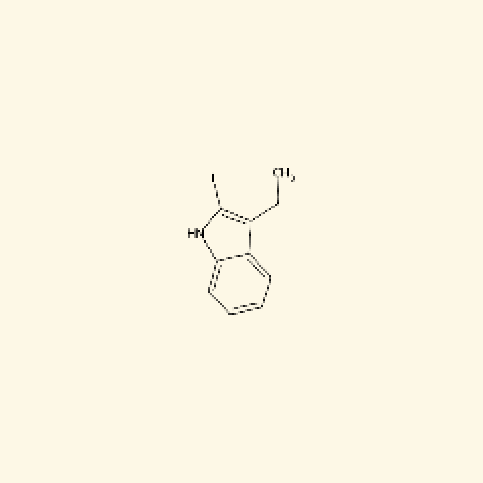 CCc1c(I)[nH]c2ccccc12